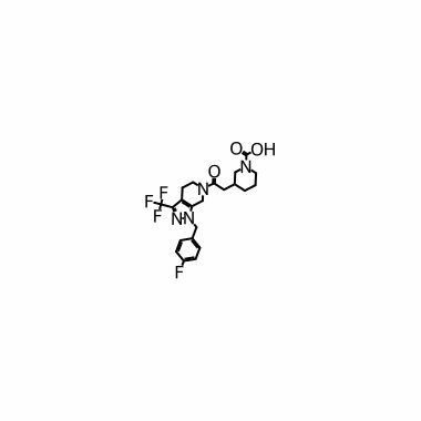 O=C(O)N1CCCC(CC(=O)N2CCc3c(C(F)(F)F)nn(Cc4ccc(F)cc4)c3C2)C1